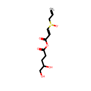 C=CC[S+]([O-])C=CC(=O)OC(=O)CCC(O)CO